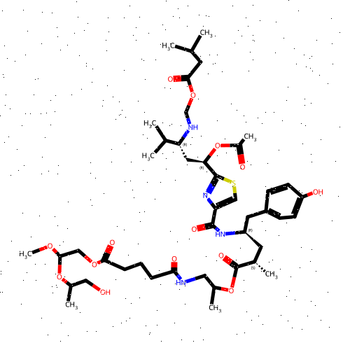 COC(COC(=O)CCCC(=O)NCC(C)OC(=O)[C@@H](C)C[C@H](Cc1ccc(O)cc1)NC(=O)c1csc([C@@H](C[C@@H](NCOC(=O)CC(C)C)C(C)C)OC(C)=O)n1)OC(C)CO